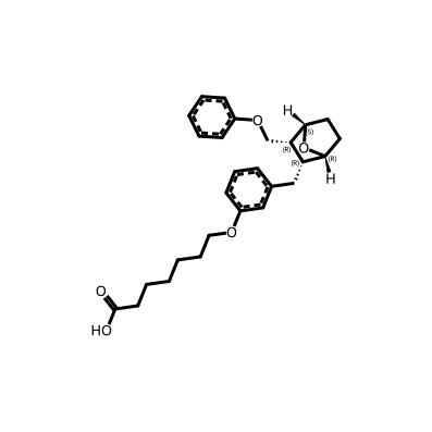 O=C(O)CCCCCCOc1cccc(C[C@@H]2[C@H](COc3ccccc3)[C@@H]3CC[C@H]2O3)c1